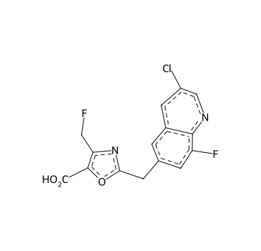 O=C(O)c1oc(Cc2cc(F)c3ncc(Cl)cc3c2)nc1CF